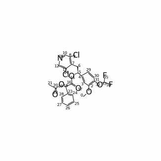 COc1cc([C@H](Cc2c(Cl)cncc2Cl)OC(=O)[C@@H](OC(C)=O)c2ccccc2)ccc1OC(F)F